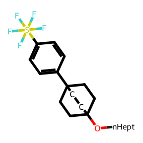 CCCCCCCOC12CCC(c3ccc(S(F)(F)(F)(F)F)cc3)(CC1)CC2